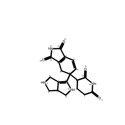 O=C1CCC(C2(C3=C4CNCC4CN3)C=CC3=C(C2)C(=O)NC3=O)C(=O)N1